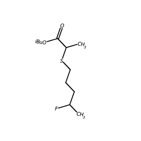 CC(C)COC(=O)C(C)SCCCC(C)F